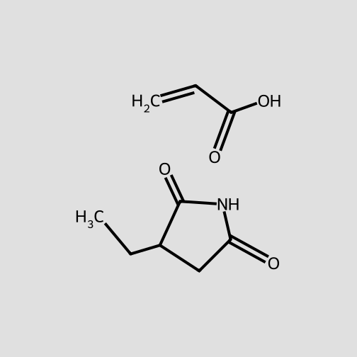 C=CC(=O)O.CCC1CC(=O)NC1=O